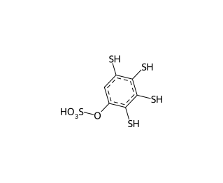 O=S(=O)(O)Oc1cc(S)c(S)c(S)c1S